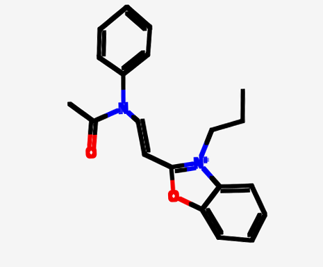 CCC[n+]1c(/C=C/N(C(C)=O)c2ccccc2)oc2ccccc21